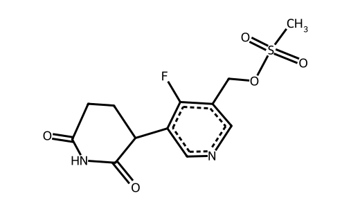 CS(=O)(=O)OCc1cncc(C2CCC(=O)NC2=O)c1F